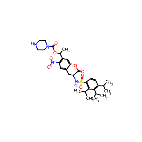 CC(C)c1ccc(S(=O)(=O)N[C@@H](Cc2ccc(C(C)OC(=O)N3CCNCC3)c([N+](=O)[O-])c2)C(=O)O)c(C(C)C)c1C(C)C